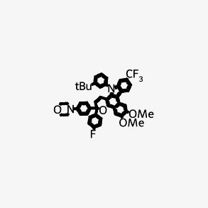 COc1cc2c3c(c4c(c2cc1OC)c1ccc(C(F)(F)F)cc1n4-c1cccc(C(C)(C)C)c1)C=CC(c1ccc(F)cc1)(c1ccc(N2CCOCC2)cc1)O3